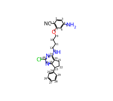 N#Cc1ccc(N)cc1OCCCCNc1nc(Cl)nc2c1CCC2c1ccccc1